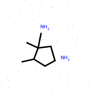 CC1CCCC1(C)C.N.N